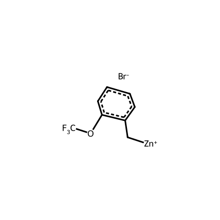 FC(F)(F)Oc1ccccc1[CH2][Zn+].[Br-]